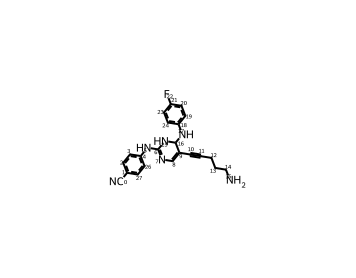 N#Cc1ccc(NC2=NC=C(C#CCCCN)C(Nc3ccc(F)cc3)N2)cc1